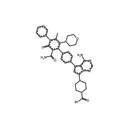 Cc1c(N2CCOCC2)c(-c2ccc(-c3cc(C4CCN(C(=O)C(C)C)CC4)n4ncnc(N)c34)cc2)c(C(N)=O)c(=O)n1-c1ccccc1